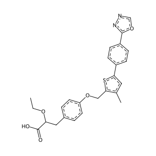 CCOC(Cc1ccc(OCc2sc(-c3ccc(-c4nnco4)cc3)cc2C)cc1)C(=O)O